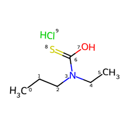 CCCN(CC)C(O)=S.Cl